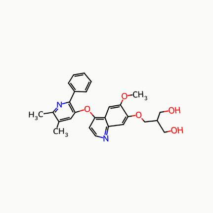 COc1cc2c(Oc3cc(C)c(C)nc3-c3ccccc3)ccnc2cc1OCC(CO)CO